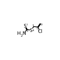 C=C(Cl)CSC(N)=S